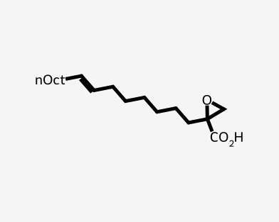 CCCCCCCCC=CCCCCCCC1(C(=O)O)CO1